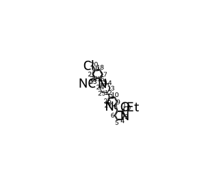 CCOc1ncccc1-c1ccc(C2CCN(c3ccc(Cl)cc3C#N)CC2)cn1